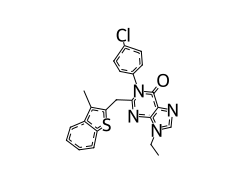 CCn1cnc2c(=O)n(-c3ccc(Cl)cc3)c(Cc3sc4ccccc4c3C)nc21